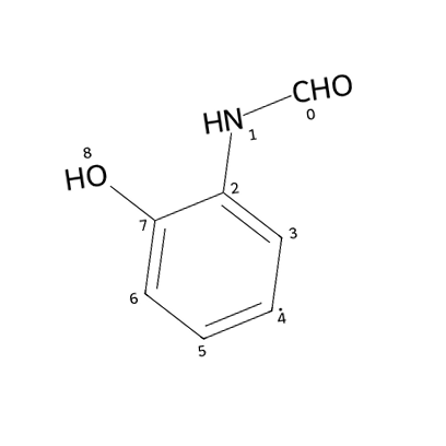 O=CNc1c[c]ccc1O